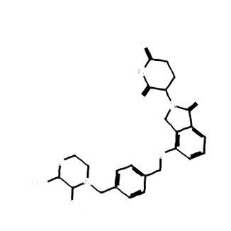 BC1OCCN(Cc2ccc(COc3cccc4c3CN(C3CCC(=O)NC3=O)C4=O)cc2)C1B